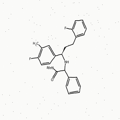 CNC(=O)C(N[C@H](CCc1ccccc1F)c1ccc(F)c(C)c1)c1ccccc1